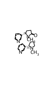 CN1C(=O)CC[C@H]1c1cccnc1.CN1CCC[C@H]1c1cccnc1